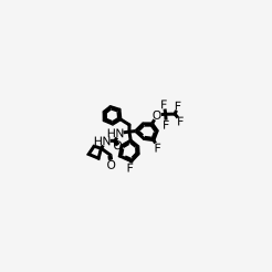 O=CC1(NC(=O)NC(Cc2ccccc2)(c2ccc(F)cc2)c2cc(F)cc(OC(F)(F)C(F)F)c2)CCC1